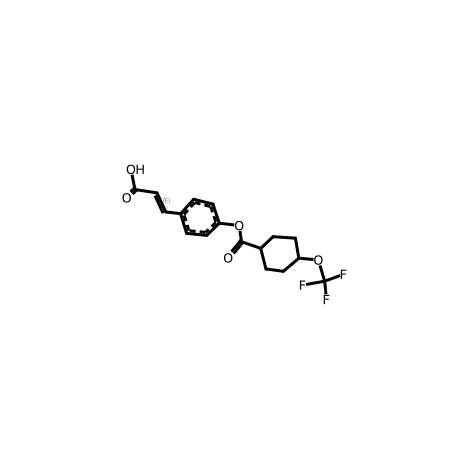 O=C(O)/C=C/c1ccc(OC(=O)C2CCC(OC(F)(F)F)CC2)cc1